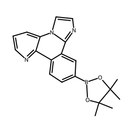 CC1(C)OB(c2ccc3c(c2)c2nccn2c2cccnc32)OC1(C)C